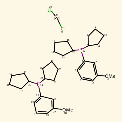 COc1cccc(P(C2CCCC2)C2CCCC2)c1.COc1cccc(P(C2CCCC2)C2CCCC2)c1.[Cl][Pd][Cl]